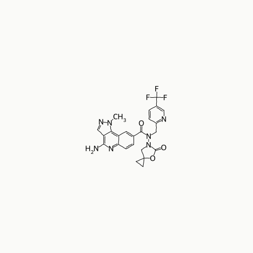 Cn1ncc2c(N)nc3ccc(C(=O)N(Cc4ccc(C(F)(F)F)cn4)N4CC5(CC5)OC4=O)cc3c21